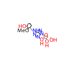 COc1c(O)cccc1CNc1ncnc2c1ncn2[C@@H]1O[C@H](CO)[C@@H](O)[C@H]1O